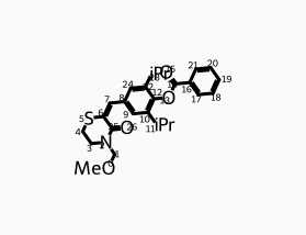 COCN1CCSC(=Cc2cc(C(C)C)c(OC(=O)c3ccccc3)c(C(C)C)c2)C1=O